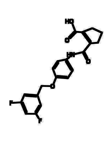 O=C(O)C1=C(C(=O)Nc2ccc(OCc3cc(F)cc(F)c3)cc2)CCC1